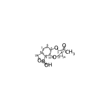 CC(=O)COc1ccc2c(c1OC1CC1)B(O)OC2